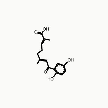 C/C(=C\C(=O)c1cc(O)ccc1O)CC/C=C(\C)C(=O)O